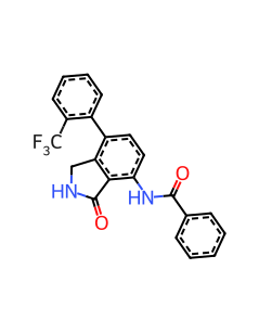 O=C(Nc1ccc(-c2ccccc2C(F)(F)F)c2c1C(=O)NC2)c1ccccc1